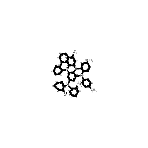 Cc1ccc(N2c3ccc(C)cc3B3c4cc(C(C)(C)C)ccc4N(c4ccccc4-c4ccccc4)c4cc(N(c5ccccc5C)c5ccccc5C)cc2c43)cc1